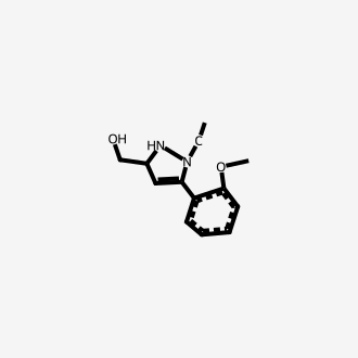 CCN1NC(CO)C=C1c1ccccc1OC